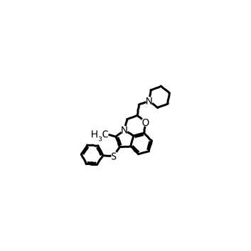 Cc1c(Sc2ccccc2)c2cccc3c2n1CC(CN1CCCCC1)O3